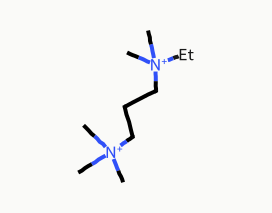 CC[N+](C)(C)CCC[N+](C)(C)C